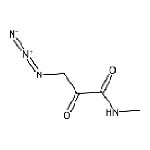 CNC(=O)C(=O)CN=[N+]=[N-]